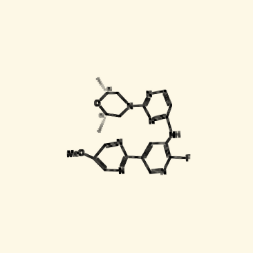 COc1cnc(-c2cnc(F)c(Nc3ccnc(N4C[C@@H](C)O[C@@H](C)C4)n3)c2)nc1